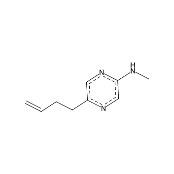 C=CCCc1cnc(NC)cn1